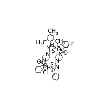 Cc1cc(C)c(-c2csc(N3CCN(S(=O)(=O)C4C=CC=CC4(C)Cl)CC3)n2)c(C)c1.Cc1ccc(F)cc1S(=O)(=O)N1CCN(c2nc(-c3ccccc3)cs2)CC1